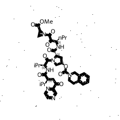 CCC[C@H](NC(=O)[C@@H]1C[C@@H](OC(=O)N2CCc3ccccc3C2)CN1C(=O)[C@@H](NC(=O)[C@@H](CC(=O)c1cnccn1)C(C)C)C(C)C)C(=O)C(=O)N1CC1C(=O)OC